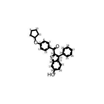 O=C(c1ccc(OC2CCCC2)cc1)c1sc2cc(O)ccc2c1-c1ccccc1